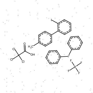 Cc1ccc(-c2ccccc2I)cc1.F[B-](F)(F)F.O=C(O)C(Cl)(Cl)Cl.c1ccc([I+]c2ccccc2)cc1